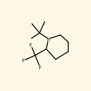 CC(C)(C)N1CCCCC1C(F)(F)F